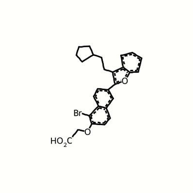 O=C(O)COc1ccc2cc(-c3oc4ccccc4c3CCC3CCCC3)ccc2c1Br